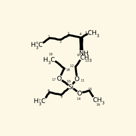 CCCCC(C)=N.CCC[Si](OCC)(OCC)OCC